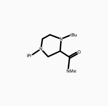 CNC(=O)C1CN(C(C)C)CCN1C(C)(C)C